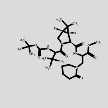 COC(=O)C(CN1CCCCC1=O)NC(=O)[C@@H]1[C@@H]2[C@H](CN1C(=O)C(NC(=O)OC(C)(C)C)C(C)(C)C)C2(C)C